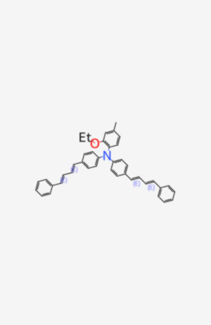 CCOc1cc(C)ccc1N(c1ccc(/C=C/C=C/c2ccccc2)cc1)c1ccc(/C=C/C=C/c2ccccc2)cc1